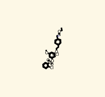 CCO/N=C/c1ccc(CCOc2cc(OC)cc(OS(=O)(=O)c3ccccc3Cl)c2)cc1.Cl